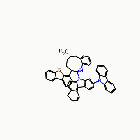 C[C@H]1CCC(c2cccc3c2sc2ccccc23)/C(n2c3cc(-n4c5ccccc5c5ccccc54)ccc3c3c4c(ccc32)CCC=C4)=N\c2ccccc2C1